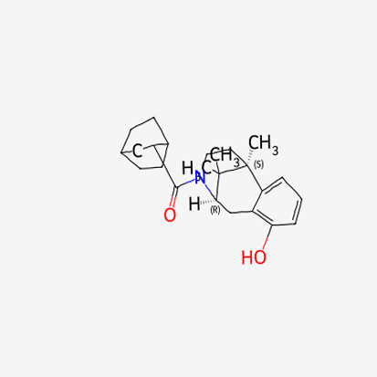 CC1(C)[C@H]2Cc3c(O)cccc3[C@]1(C)CCN2C(=O)C1CC2CCC1CC2